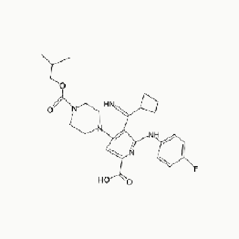 CC(C)COC(=O)N1CCN(c2cc(C(=O)O)nc(Nc3ccc(F)cc3)c2C(=N)C2CCC2)CC1